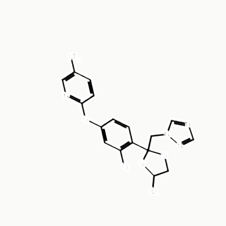 CCC1COC(Cn2cncn2)(c2ccc(Oc3ccc(C(F)(F)F)cn3)cc2Cl)O1